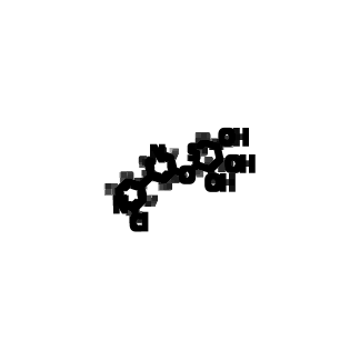 O[C@@H]1[C@@H](O)[C@@H](Oc2cncc(-c3ccnc(Cl)c3)c2)SC[C@H]1O